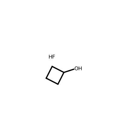 F.OC1CCC1